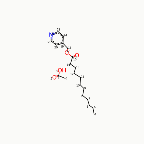 CC(=O)O.CCCCCCCCCCCC(=O)OCc1ccncc1